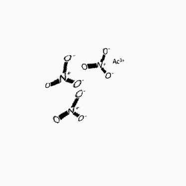 O=[N+]([O-])[O-].O=[N+]([O-])[O-].O=[N+]([O-])[O-].[Ac+3]